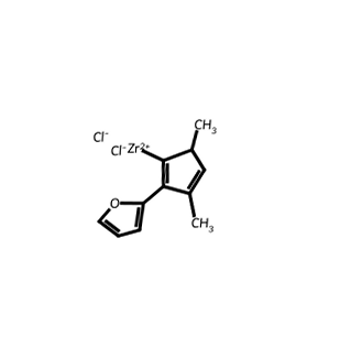 CC1=CC(C)[C]([Zr+2])=C1c1ccco1.[Cl-].[Cl-]